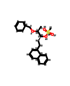 C[C@H](OCc1ccccc1)[C@@H](CCc1cccc2ccccc12)OS(C)(=O)=O